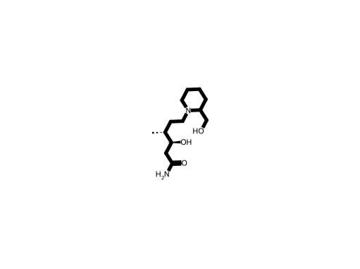 C[C@H](CCN1CCCCC1CO)[C@@H](O)CC(N)=O